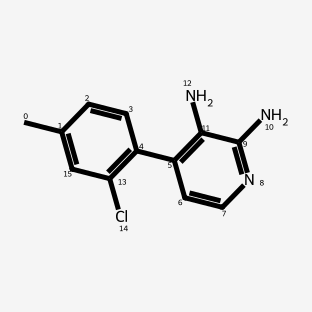 Cc1ccc(-c2ccnc(N)c2N)c(Cl)c1